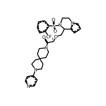 O=C(COCC1c2cccn2CCN1S(=O)(=O)c1ccccc1C(F)(F)F)N1CCC2(CC1)CCN(c1ccncc1)CC2